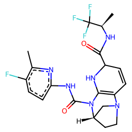 Cc1nc(NC(=O)N2C3=C(C=CC(C(=O)N[C@H](C)C(F)(F)F)N3)N3CC[C@H]2C3)ccc1F